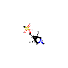 CN1C[C@@H]2[C@@H](COS(C)(=O)=O)[C@@H]2C1